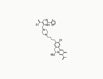 C=C(C)C1=CN2C(=CC1=C)c1cc(CC)c(CCCCN3CCN(CC4=C(C(=C)CC)CN=C(c5nccs5)N4)CC3)cc1CC2C(C)(C)C